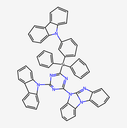 c1ccc([Si](c2ccccc2)(c2cccc(-n3c4ccccc4c4ccccc43)c2)c2nc(-n3c4ccccc4c4ccccc43)nc(-n3c4ccccc4n4c5ccccc5nc34)n2)cc1